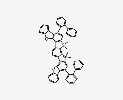 C[Si]1(C)c2cc(-c3ccccc3-c3ccccc3)c3c(oc4ccccc43)c2-c2ccc3c(c21)[Si](C)(C)c1cc(-c2ccccc2-c2ccccc2)c2c(oc4ccccc42)c1-3